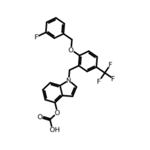 O=C(O)Oc1cccc2c1ccn2Cc1cc(C(F)(F)F)ccc1OCc1cccc(F)c1